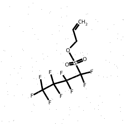 C=CCOS(=O)(=O)C(F)(F)C(F)(F)C(F)(F)C(F)(F)F